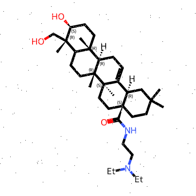 CCN(CC)CCNC(=O)[C@]12CCC(C)(C)C[C@@H]1C1=CC[C@@H]3[C@@]4(C)CC[C@H](O)[C@@](C)(CO)C4CC[C@@]3(C)[C@]1(C)CC2